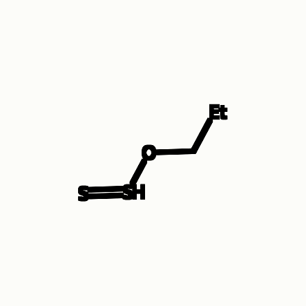 CCCO[SH]=S